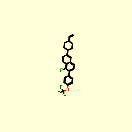 C=CC1CCC(c2ccc3c(F)c(-c4ccc(OC(F)(F)F)cc4)ccc3c2)CC1